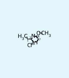 CCc1nc(OC)ccc1Cl